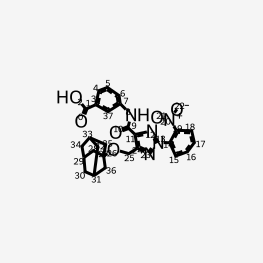 O=C(O)c1cccc(NC(=O)c2nn(-c3ccccc3[N+](=O)[O-])nc2COC23CC4CC(CC(C4)C2)C3)c1